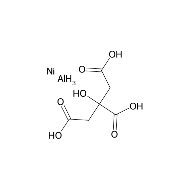 O=C(O)CC(O)(CC(=O)O)C(=O)O.[AlH3].[Ni]